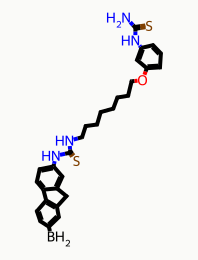 Bc1ccc2c(c1)Cc1cc(NC(=S)NCCCCCCCCOc3cccc(NC(N)=S)c3)ccc1-2